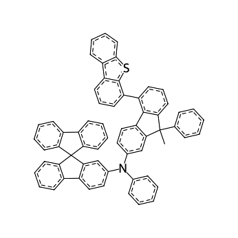 CC1(c2ccccc2)c2cc(N(c3ccccc3)c3ccc4c(c3)C3(c5ccccc5-c5ccccc53)c3ccccc3-4)ccc2-c2c(-c3cccc4c3sc3ccccc34)cccc21